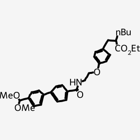 CCCCC(Cc1ccc(OCCNC(=O)c2ccc(-c3ccc(C(OC)OC)cc3)cc2)cc1)C(=O)OCC